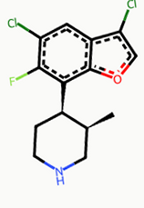 C[C@H]1CNCC[C@H]1c1c(F)c(Cl)cc2c(Cl)coc12